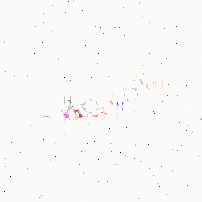 C=CCN1CC[C@]23CC(=O)CC[C@@]2(O)[C@H]1Cc1ccc(OC(=O)Nc2ccc(C(=O)O)cc2)cc13